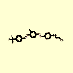 Cc1cc(/N=N/c2ccc(NCCO)cc2)ccc1/N=N/c1ccc(C(F)(F)F)cc1